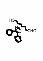 O=CCCCCCCS.c1ccc(-c2ncoc2-c2ccccc2)cc1